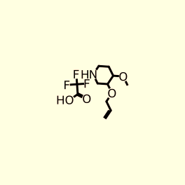 C=CCOC1CNCCC1OC.O=C(O)C(F)(F)F